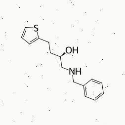 O[C@H]([CH]Cc1cccs1)CNCc1ccccc1